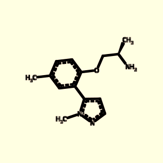 Cc1ccc(OC[C@@H](C)N)c(-c2ccnn2C)c1